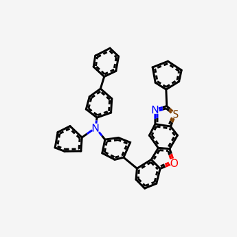 c1ccc(-c2ccc(N(c3ccccc3)c3ccc(-c4cccc5oc6cc7sc(-c8ccccc8)nc7cc6c45)cc3)cc2)cc1